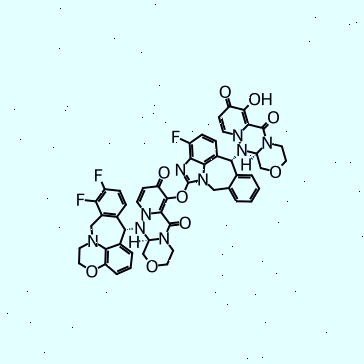 O=C1c2c(Oc3nc4c(F)ccc5c4n3Cc3ccccc3[C@H]5N3[C@@H]4COCCN4C(=O)c4c(O)c(=O)ccn43)c(=O)ccn2N([C@H]2c3ccc(F)c(F)c3CN3CCOc4cccc2c43)[C@@H]2COCCN12